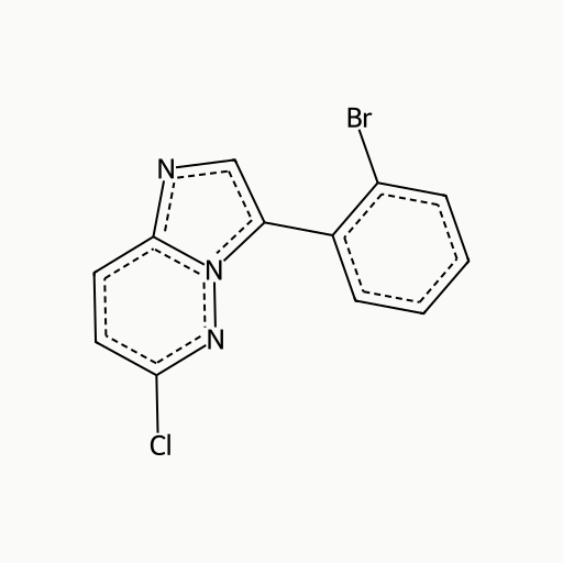 Clc1ccc2ncc(-c3ccccc3Br)n2n1